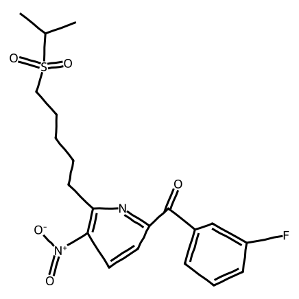 CC(C)S(=O)(=O)CCCCCc1nc(C(=O)c2cccc(F)c2)ccc1[N+](=O)[O-]